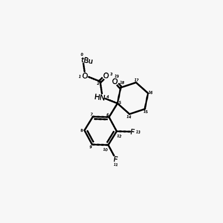 CC(C)(C)OC(=O)NC1(c2cccc(F)c2F)CCCCC1=O